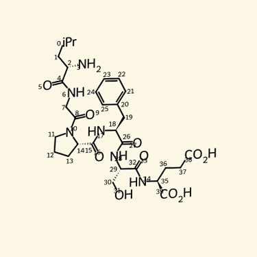 CC(C)C[C@H](N)C(=O)NCC(=O)N1CCC[C@H]1C(=O)N[C@@H](Cc1ccccc1)C(=O)N[C@@H](CO)C(=O)N[C@@H](CCC(=O)O)C(=O)O